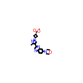 COC(=O)[C@H]1C[C@H](n2cc(-c3cnc4ccc(N5CCOCC5)cc4n3)c(C)n2)C1